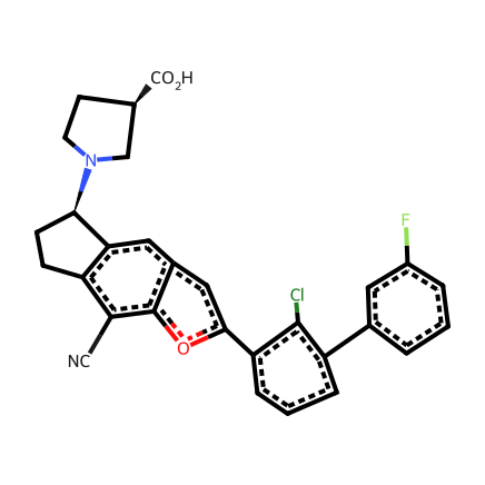 N#Cc1c2c(cc3cc(-c4cccc(-c5cccc(F)c5)c4Cl)oc13)[C@H](N1CC[C@@H](C(=O)O)C1)CC2